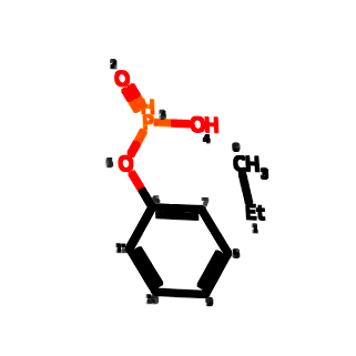 CCC.O=[PH](O)Oc1ccccc1